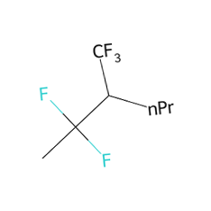 CCCC(C(C)(F)F)C(F)(F)F